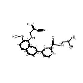 C=C(C#N)CNc1c(OC)ccc2ccc(-c3ccnc(C(=O)NCC(C)O)n3)cc12